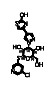 OC[C@H]1O[C@H](Sc2cncc(Cl)c2)[C@H](O)[C@@H](n2cc(-c3csc(O)n3)cn2)[C@H]1O